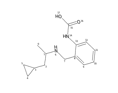 CC(CC1CC1)NCc1ccccc1NC(=O)O